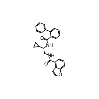 O=C(N[C@@H](CNC(=O)c1cccc2occc12)C1CC1)c1ccccc1-c1ccccc1